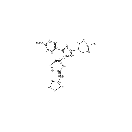 COc1ccc(-c2nc(C3CCN(C)CC3)sc2-c2ccnc(NC3CCCC3)n2)cc1